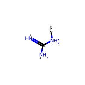 [CH2-][NH2+]C(=N)N